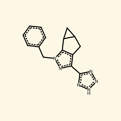 c1ccc(Cn2nc(-c3nn[nH]n3)c3c2C2CC2C3)cc1